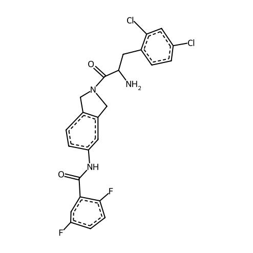 NC(Cc1ccc(Cl)cc1Cl)C(=O)N1Cc2ccc(NC(=O)c3cc(F)ccc3F)cc2C1